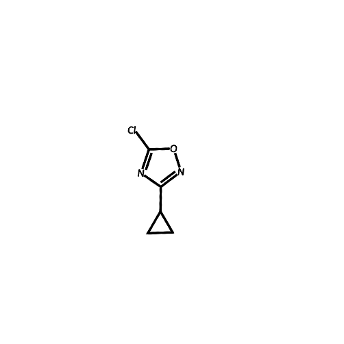 Clc1nc(C2CC2)no1